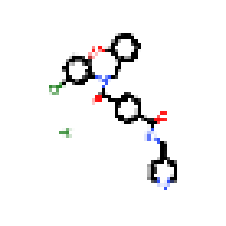 Cl.O=C(NCc1ccncc1)c1ccc(C(=O)N2Cc3ccccc3Oc3ccc(Cl)cc32)cc1